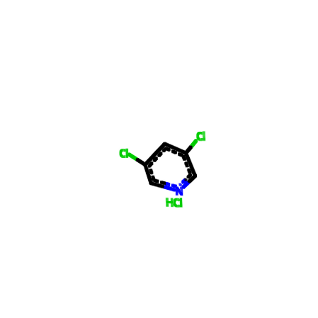 Cl.Clc1cncc(Cl)c1